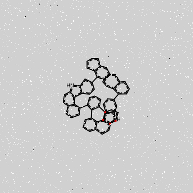 c1ccc(-c2cccc(-c3cccc4ccc5[nH]c6cc(-c7cccc8ccccc78)ccc6c5c34)c2-c2cccc3ccc4[nH]c5cc(-c6cccc7ccccc67)ccc5c4c23)cc1